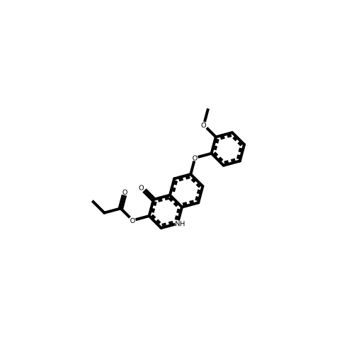 CCC(=O)Oc1c[nH]c2ccc(Oc3ccccc3OC)cc2c1=O